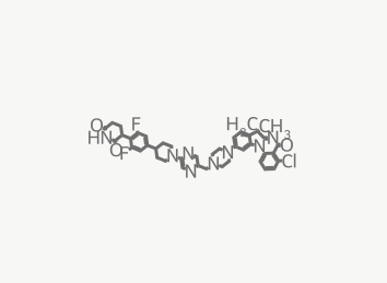 CC1(C)c2ccc(N3CCN(Cc4cnc(N5CCC(c6cc(F)c(C7CCC(=O)NC7=O)c(F)c6)CC5)cn4)CC3)cc2-n2c1nc(=O)c1c(Cl)cccc12